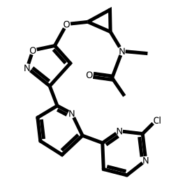 CC(=O)N(C)C1CC1Oc1cc(-c2cccc(-c3ccnc(Cl)n3)n2)no1